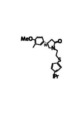 COc1ccc([C@@H]2CC(=O)N(CCSc3ccc(C(C)C)cc3)C2)cc1C